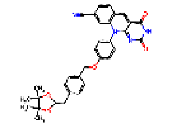 CC1(C)OB(Cc2ccc(COc3ccc(-n4c5nc(=O)[nH]c(=O)c-5cc5ccc(C#N)cc54)cc3)cc2)OC1(C)C